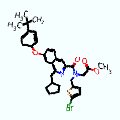 COC(=O)CN(Cc1ccc(Br)s1)C(=O)c1cc2ccc(Oc3ccc(C(C)(C)C)cc3)cc2c(CC2CCCC2)n1